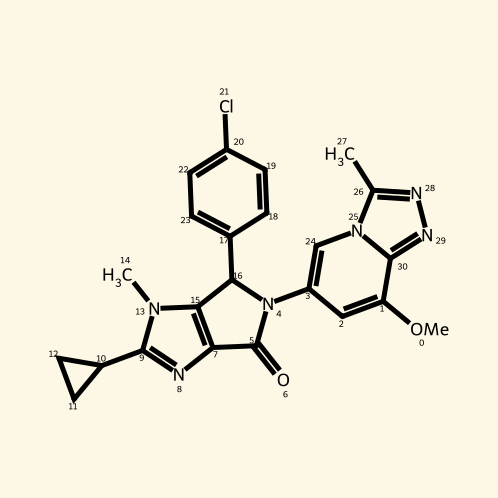 COc1cc(N2C(=O)c3nc(C4CC4)n(C)c3C2c2ccc(Cl)cc2)cn2c(C)nnc12